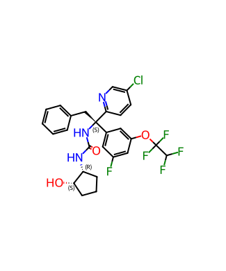 O=C(N[C@@H]1CCC[C@@H]1O)N[C@@](Cc1ccccc1)(c1cc(F)cc(OC(F)(F)C(F)F)c1)c1ccc(Cl)cn1